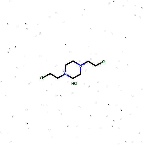 Cl.ClCCN1CCN(CCCl)CC1